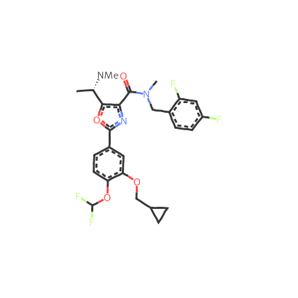 CN[C@@H](C)c1oc(-c2ccc(OC(F)F)c(OCC3CC3)c2)nc1C(=O)N(C)Cc1ccc(F)cc1F